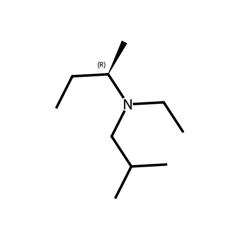 CC[C@@H](C)N(CC)CC(C)C